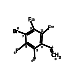 C=Cc1c(F)c(F)c(Br)c(F)c1F